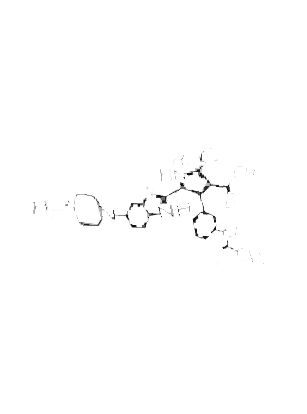 CC(=O)Nc1cccc(-c2c(-c3nc4cc(N5CCN(C)CC5)ccc4[nH]3)[nH]c(C)c2C(C)=O)c1